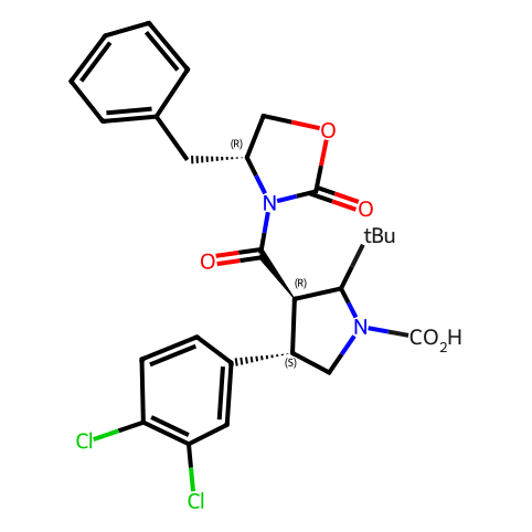 CC(C)(C)C1[C@H](C(=O)N2C(=O)OC[C@H]2Cc2ccccc2)[C@@H](c2ccc(Cl)c(Cl)c2)CN1C(=O)O